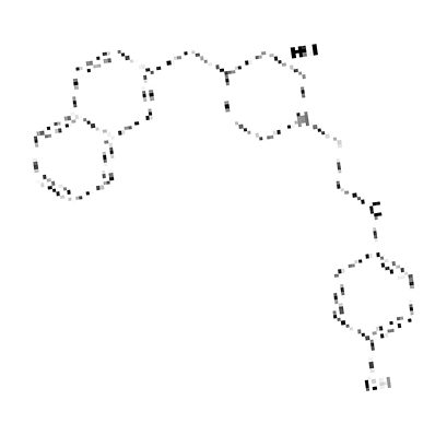 Cl.Oc1ccc(OCCN2CCC(Cc3ccc4ccccc4c3)CC2)cc1